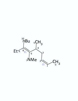 C/C=C\CC(C)/C(NC)=C(/CC)CCCC